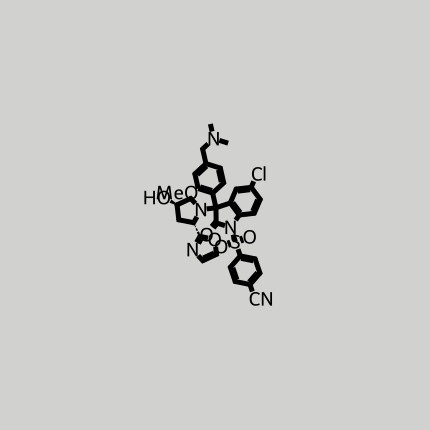 COc1cc(CN(C)C)ccc1C1(N2C[C@H](O)C[C@H]2c2ncco2)C(=O)N(S(=O)(=O)c2ccc(C#N)cc2)c2ccc(Cl)cc21